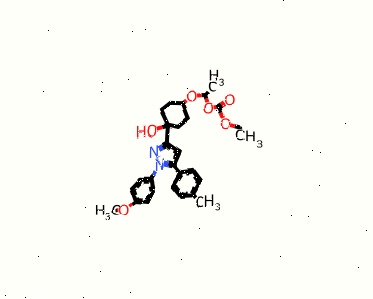 CCOC(=O)OC(C)OC1CCC(O)(c2cc(-c3ccc(C)cc3)n(-c3ccc(OC)cc3)n2)CC1